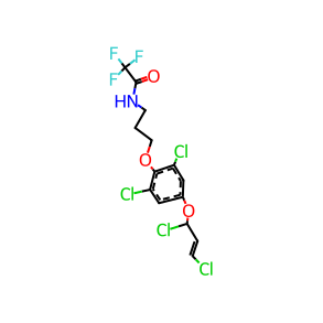 O=C(NCCCOc1c(Cl)cc(OC(Cl)C=CCl)cc1Cl)C(F)(F)F